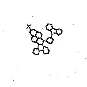 CC(C)(C)c1cc2ccc3c(-c4cccc(-n5c6ccccc6c6ccccc65)c4)cc(-c4ccccc4-c4ccccc4)c4ccc(c1)c2c34